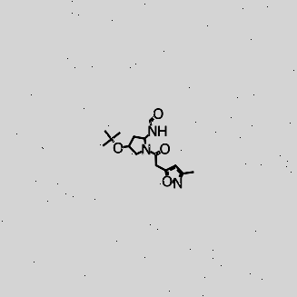 Cc1cc(CC(=O)N2CC(OC(C)(C)C)CC2NC=O)on1